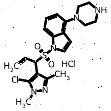 C=CC(c1c(C)nn(C)c1Cl)S(=O)(=O)n1ccc2c(N3CCNCC3)cccc21.Cl